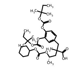 CCC(C)(C)OC(=O)Oc1ccc(CC(N)(C[C@H](C)OC(=O)OC2CCCCC2)C(=O)O)cc1OC(=O)OC(C)(C)CC